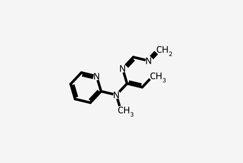 C=N/C=N\C(=C/C)N(C)c1ccccn1